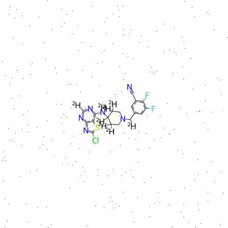 [2H]c1nc(N([2H])C2([2H])C([2H])([2H])CN(C([2H])c3cc(F)c(F)c(C#N)c3)CC2([2H])[2H])c2sc(Cl)nc2n1